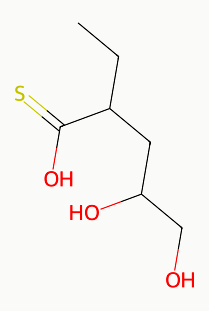 CCC(CC(O)CO)C(O)=S